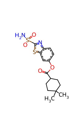 CC1(C)CCC(C(=O)Oc2ccc3nc(S(N)(=O)=O)sc3c2)CC1